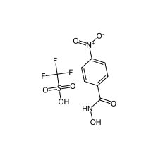 O=C(NO)c1ccc([N+](=O)[O-])cc1.O=S(=O)(O)C(F)(F)F